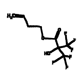 C=CCCOC(=O)C(O)(C(F)(F)F)C(F)(F)F